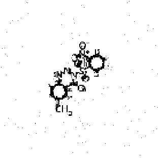 Cc1ccc2nnn(S(=O)(=O)c3ccccc3[N+](=O)[O-])c(=O)c2c1